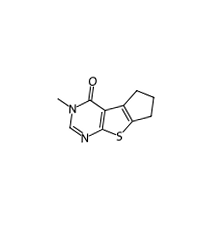 Cn1cnc2sc3c(c2c1=O)CCC3